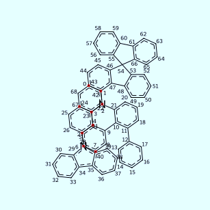 c1ccc(-c2ccccc2-c2c(-c3ccccc3)cccc2N(c2cccc(-n3c4ccccc4c4ccccc43)c2)c2cccc3c2-c2ccccc2C32c3ccccc3-c3ccccc32)cc1